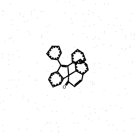 O=C1C=Cc2ccccc2C12C(c1ccccc1)=C(c1ccccc1)c1ccccc12